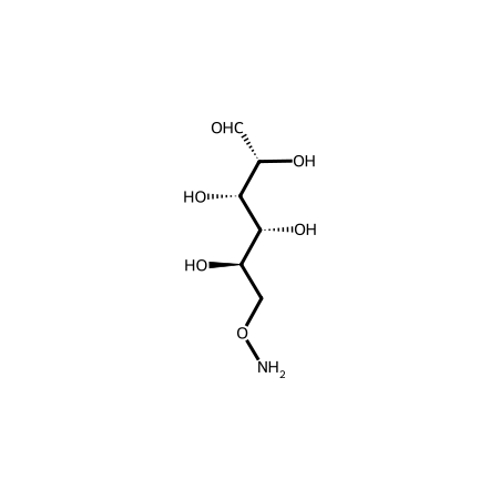 NOC[C@@H](O)[C@@H](O)[C@H](O)[C@@H](O)C=O